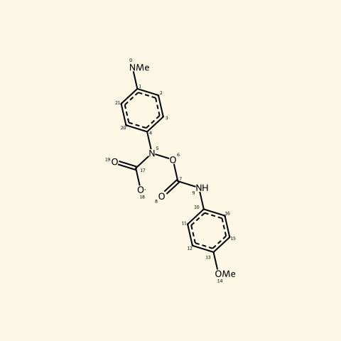 CNc1ccc(N(OC(=O)Nc2ccc(OC)cc2)C([O])=O)cc1